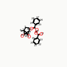 CC12CCC(C(=O)C1=O)C2(C)C.O=C(OOC(=O)c1ccccc1)c1ccccc1